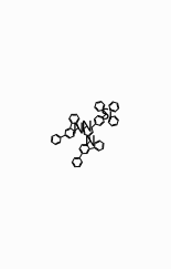 c1ccc(-c2ccc3c(c2)c2ccccc2n3-c2cc(-c3ccc([Si](c4ccccc4)(c4ccccc4)c4ccccc4)cc3)nc(-n3c4ccccc4c4cc(-c5ccccc5)ccc43)c2)cc1